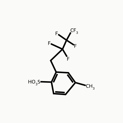 Cc1ccc(S(=O)(=O)O)c(CC(F)(F)C(F)(F)C(F)(F)F)c1